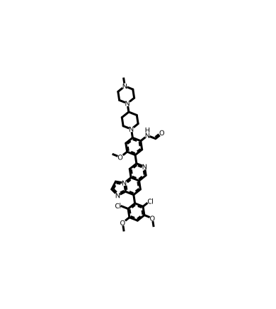 COc1cc(N2CCC(N3CCN(C)CC3)CC2)c(NC=O)cc1-c1cc2c(cn1)cc(-c1c(Cl)c(OC)cc(OC)c1Cl)c1nccn12